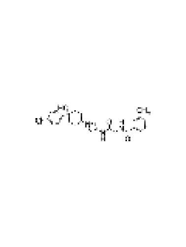 Cc1cccc(C(=O)NCC(=O)NC2CN(C3CCC(O)(c4ccc(Cl)cc4)CC3)C2)c1